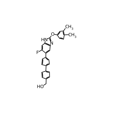 Cc1ccc(Oc2nc3cc(-c4ccc(-c5ccc(CO)cc5)cc4)c(F)cc3[nH]2)cc1C